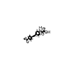 COC(=O)c1ccc(C#Cc2ccc(NC(=O)C(=O)O)cc2)cc1